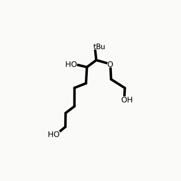 CC(C)(C)C(OCCO)C(O)CCCCCO